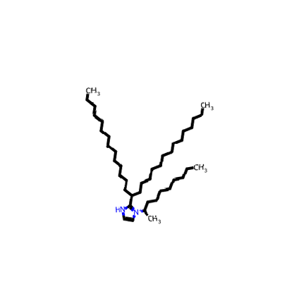 CCCCCCCCCCCCCCC(CCCCCCCCCCCCCC)c1[nH]cc[n+]1C(C)CCCCCCCC